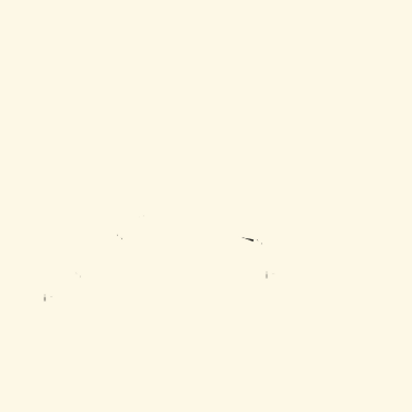 CC(C)N1CCN(C(=O)[C@H]2CC[C@H](N(C(C)C)S(=O)(=O)c3ccc(F)c(Cl)c3)CC2)CC1